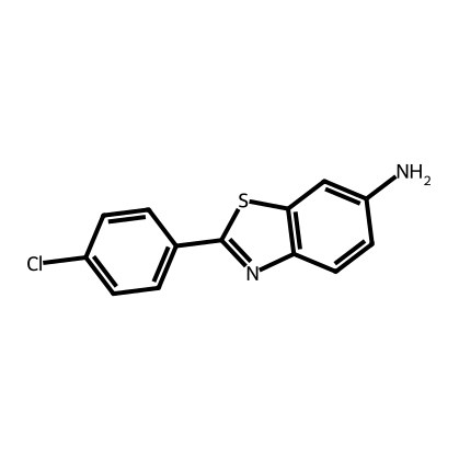 Nc1ccc2nc(-c3ccc(Cl)cc3)sc2c1